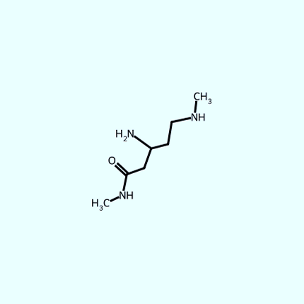 CNCCC(N)CC(=O)NC